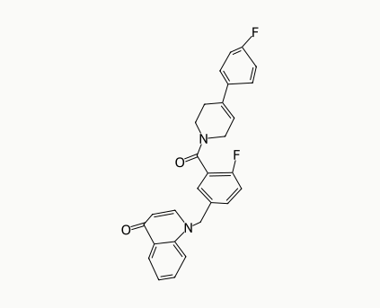 O=C(c1cc(Cn2ccc(=O)c3ccccc32)ccc1F)N1CC=C(c2ccc(F)cc2)CC1